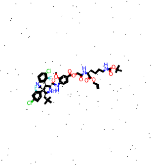 C=CCOC(=O)[C@H](CCCCNC(=O)OC(C)(C)C)NC(=O)COC(=O)c1ccc(NC(=O)[C@@H]2N[C@@H](CC(C)(C)C)[C@](C#N)(c3ccc(Cl)cc3F)[C@H]2c2cccc(Cl)c2F)c(OC)c1